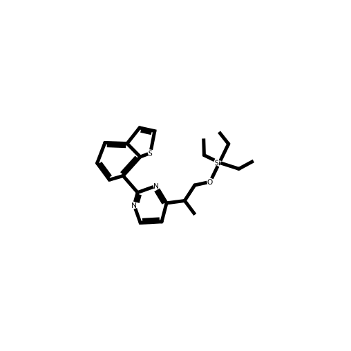 CC[Si](CC)(CC)OCC(C)c1ccnc(-c2cccc3ccsc23)n1